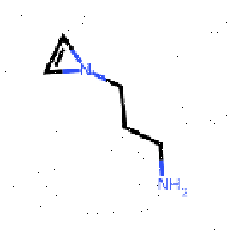 NCCCN1C=C1